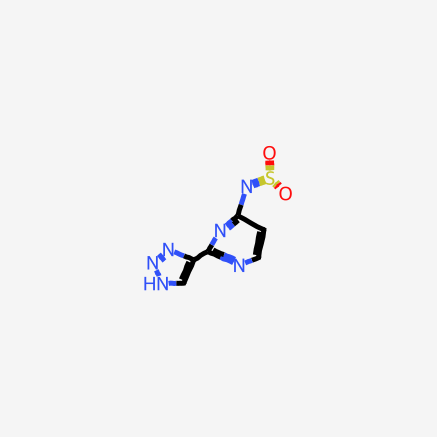 O=S(=O)=Nc1ccnc(-c2c[nH]nn2)n1